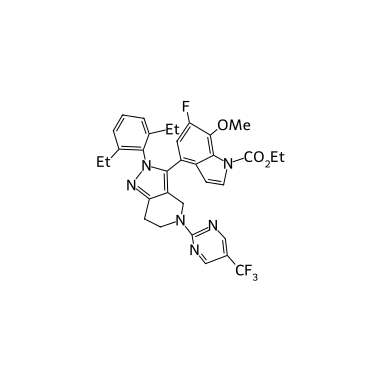 CCOC(=O)n1ccc2c(-c3c4c(nn3-c3c(CC)cccc3CC)CCN(c3ncc(C(F)(F)F)cn3)C4)cc(F)c(OC)c21